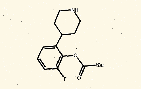 CC(C)(C)C(=O)Oc1c(F)cccc1C1CCNCC1